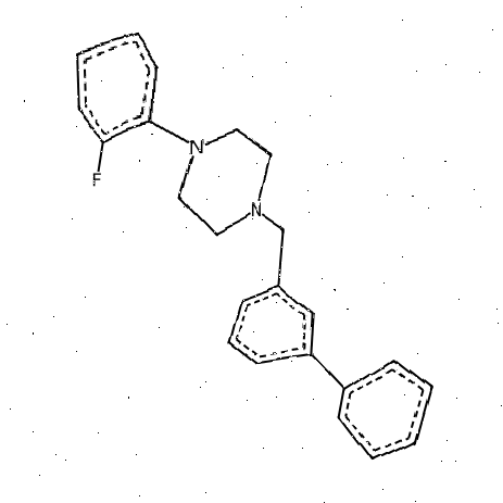 Fc1ccccc1N1CCN(Cc2cccc(-c3ccccc3)c2)CC1